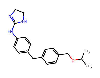 CC(C)OCc1ccc(Cc2ccc(NC3=NCCN3)cc2)cc1